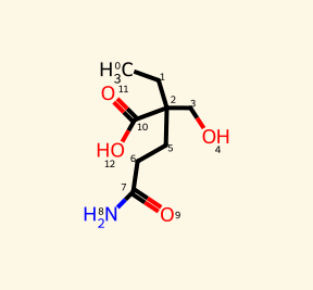 CCC(CO)(CCC(N)=O)C(=O)O